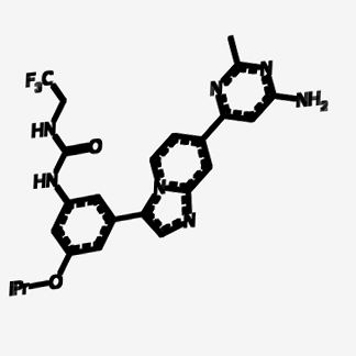 Cc1nc(N)cc(-c2ccn3c(-c4cc(NC(=O)NCC(F)(F)F)cc(OC(C)C)c4)cnc3c2)n1